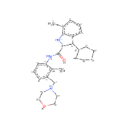 Cc1cccc2c1NC(C(=O)Nc1cccc(CN3CCOCC3)c1C)C2C1CCCCC1